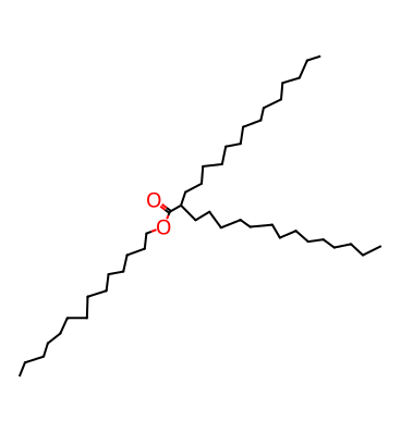 CCCCCCCCCCCCCCOC(=O)C(CCCCCCCCCCCCCC)CCCCCCCCCCCCCC